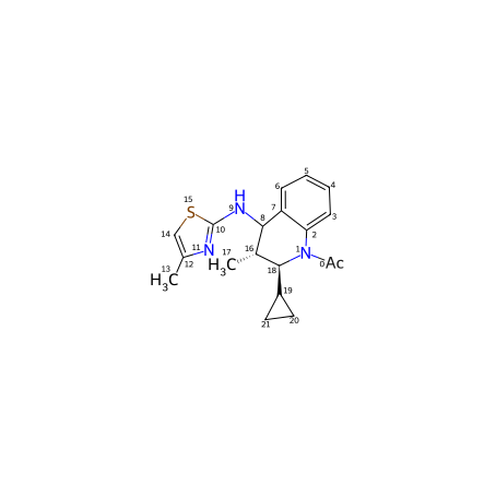 CC(=O)N1c2ccccc2C(Nc2nc(C)cs2)[C@@H](C)[C@@H]1C1CC1